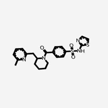 Cc1cccc(CC2CCCCN2C(=O)c2ccc(S(=O)(=O)Nc3nccs3)cc2)n1